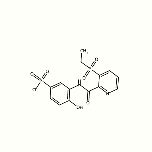 CCS(=O)(=O)c1cccnc1C(=O)Nc1cc(S(=O)(=O)Cl)ccc1O